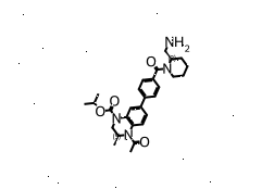 CC(=O)N1c2ccc(-c3ccc(C(=O)N4CCCC[C@@H]4CN)cc3)cc2N(C(=O)OC(C)C)C[C@@H]1C